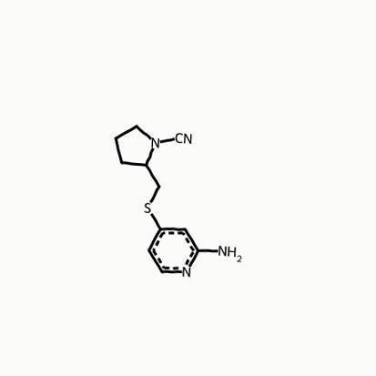 N#CN1CCCC1CSc1ccnc(N)c1